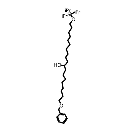 CC(C)[Si](OCCCCCCCCCCC(O)CCCCCCCCOCc1ccccc1)(C(C)C)C(C)C